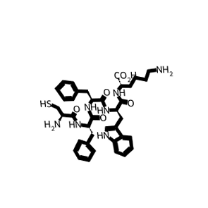 NCCCC[C@H](NC(=O)[C@@H](Cc1c[nH]c2ccccc12)NC(=O)[C@H](Cc1ccccc1)NC(=O)[C@H](Cc1ccccc1)NC(=O)[C@@H](N)CS)C(=O)O